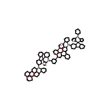 c1ccc(-c2ccc(-c3ccccc3N(c3ccc4c(c3)C3(c5ccccc5-4)c4ccccc4N(c4cccc(-c5ccc6c7ccc(N(c8ccc9c(c8)C8(c%10ccccc%10-9)c9ccccc9N(c9ccccc9)c9ccccc98)c8ccccc8-c8ccc(-c9ccccc9)cc8)cc7c7ccccc7c6c5)c4)c4ccccc43)c3ccc4c(ccc5ccccc54)c3)cc2)cc1